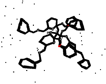 OC(CC1(OCc2ccccc2)CCCC(COCc2ccccc2)O1)(C1(OCc2ccccc2)CCCC(COCc2ccccc2)O1)C1(OCc2ccccc2)CCCC(COCc2ccccc2)O1